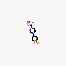 CC(C)(C)OC(=O)N1CCN(C2CCS(=O)(=O)CC2)CC1